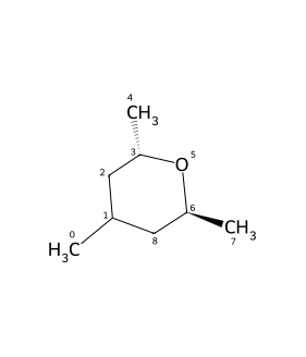 CC1C[C@H](C)O[C@@H](C)C1